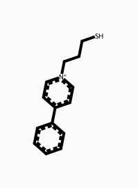 SCCC[n+]1ccc(-c2ccccc2)cc1